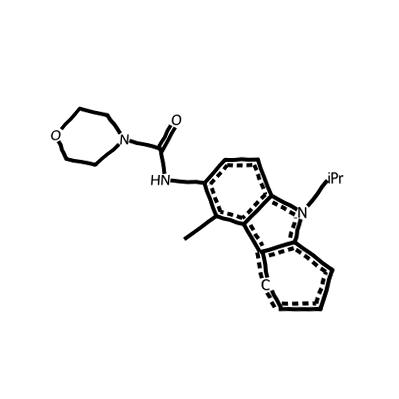 Cc1c(NC(=O)N2CCOCC2)ccc2c1c1ccccc1n2C(C)C